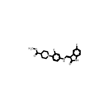 COC(=O)C1CCN(c2ccc(N/C=C3\C(=O)Nc4ccc(F)cc43)cc2F)CC1